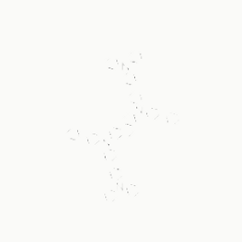 c1ccc(-c2ccc(N(c3ccc(-c4ccc(N(c5ccccc5)c5ccccc5)cc4)cc3)c3ccc4c(ccc5cc(N(c6ccc(-c7ccccc7)cc6)c6ccc(-c7ccc(N(c8ccccc8)c8ccccc8)cc7)cc6)ccc54)c3)cc2)cc1